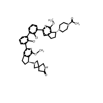 COc1nc(-c2cccc(-c3cccc(-c4cc5c(c(OC)n4)[C@@H](N4CC6(CNC(=O)C6)C4)CC5)c3Cl)c2Cl)cc2c1[C@H](N1CCN(C(C)=O)CC1)CC2